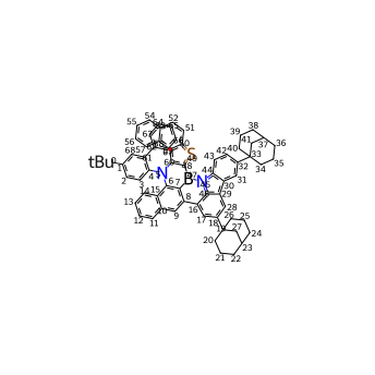 CC(C)(C)c1ccc(N2c3c4c(cc5ccccc35)-c3cc(C56CCCC(CCC5)C6)cc5c6cc(C78CCCC(CCC7)C8)ccc6n(c35)B4c3sc4ccc5ccccc5c4c32)c(-c2ccccc2)c1